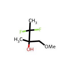 COCC(C)(O)C(C)(F)F